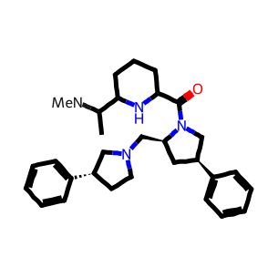 CNC(C)C1CCCC(C(=O)N2C[C@@H](c3ccccc3)C[C@H]2CN2CC[C@H](c3ccccc3)C2)N1